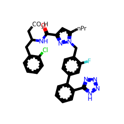 CCCc1cc(C(=O)NC(CC(=O)O)Cc2ccccc2Cl)nn1Cc1ccc(-c2ccccc2-c2nnn[nH]2)cc1F